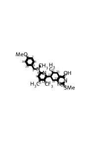 COc1ccc(CN(C)c2cc(C)c(C(F)(F)F)c(C3Cc4nc(SC)nc(O)c4CC3C)n2)cc1